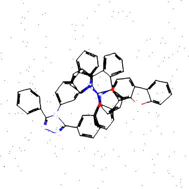 c1ccc(-c2nnc(-c3ccccc3)n2-c2ccc3c4ccccc4n(-c4ccccc4-c4ccccc4-c4ccccc4-n4c5ccccc5c5c6oc7ccccc7c6ccc54)c3c2)cc1